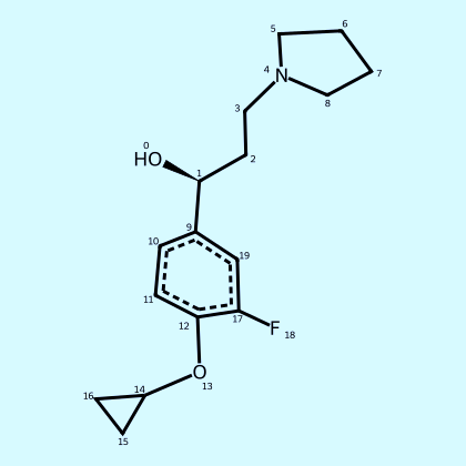 O[C@@H](CCN1CCCC1)c1ccc(OC2CC2)c(F)c1